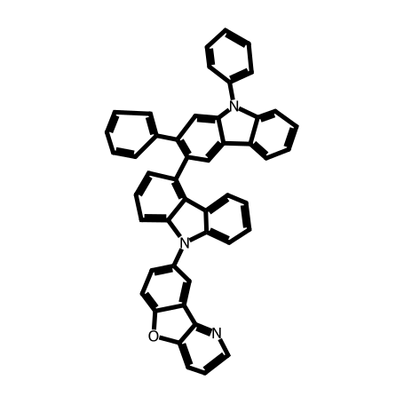 c1ccc(-c2cc3c(cc2-c2cccc4c2c2ccccc2n4-c2ccc4oc5cccnc5c4c2)c2ccccc2n3-c2ccccc2)cc1